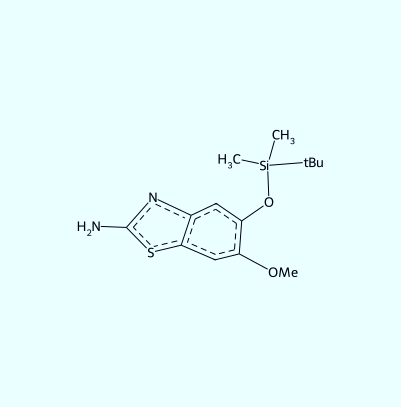 COc1cc2sc(N)nc2cc1O[Si](C)(C)C(C)(C)C